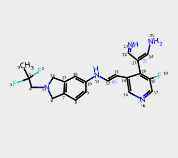 CC(F)(F)CN1Cc2ccc(N/C=C/c3cncc(F)c3/C(C=N)=C/N)cc2C1